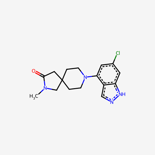 CN1CC2(CCN(c3cc(Cl)cc4[nH]ncc34)CC2)CC1=O